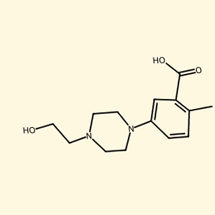 Cc1ccc(N2CCN(CCO)CC2)cc1C(=O)O